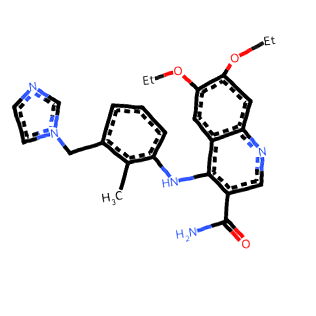 CCOc1cc2ncc(C(N)=O)c(Nc3cccc(Cn4ccnc4)c3C)c2cc1OCC